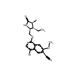 CC[C@@H]1[C@H](F)C(=O)N[C@@H]1COc1ncc(Br)c2cc(C#N)c(OC)cc12